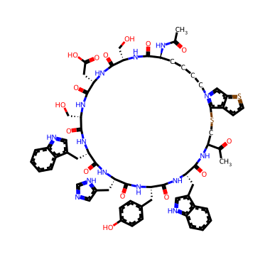 CC(=O)N[C@H]1CCCCn2cc3sccc3c2SCC(C(C)=O)NC(=O)[C@H](Cc2c[nH]c3ccccc23)NC(=O)[C@H](Cc2ccc(O)cc2)NC(=O)[C@H](Cc2cnc[nH]2)NC(=O)[C@H](Cc2c[nH]c3ccccc23)NC(=O)[C@H](CO)NC(=O)[C@H](CC(=O)O)NC(=O)[C@H](CO)NC1=O